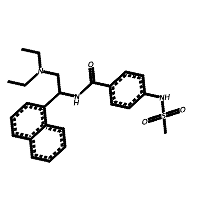 CCN(CC)CC(NC(=O)c1ccc(NS(C)(=O)=O)cc1)c1cccc2ccccc12